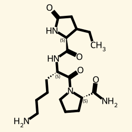 CCC1CC(=O)N[C@@H]1C(=O)N[C@@H](CCCCN)C(=O)N1CCC[C@H]1C(N)=O